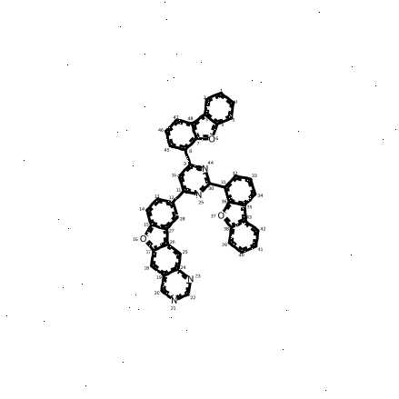 c1ccc2c(c1)oc1c(-c3cc(-c4ccc5oc6cc7cncnc7cc6c5c4)nc(-c4cccc5c4oc4ccccc45)n3)cccc12